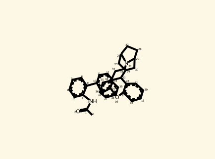 CC(=O)Nc1ccccc1-c1ccc2c(c1)Oc1ccccc1C2C1CC2CCC(C1)N2CCc1ccccc1